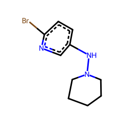 Brc1ccc(NN2CCCCC2)cn1